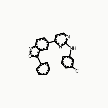 Clc1cccc(Nc2nccc(-c3ccc4noc(-c5ccccc5)c4c3)n2)c1